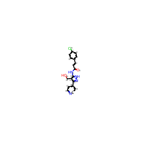 O=C(C=Cc1ccc(Cl)cc1)Nc1[nH]nc(-c2ccncc2)c1CO